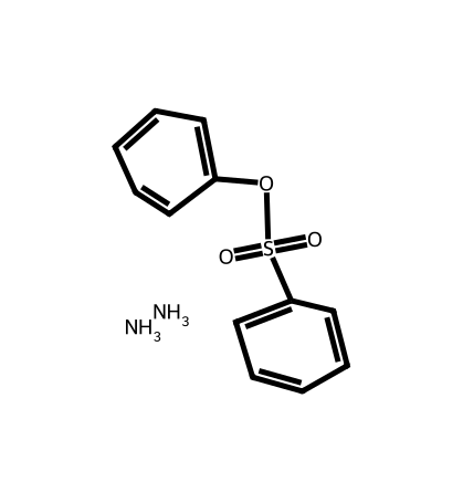 N.N.O=S(=O)(Oc1ccccc1)c1ccccc1